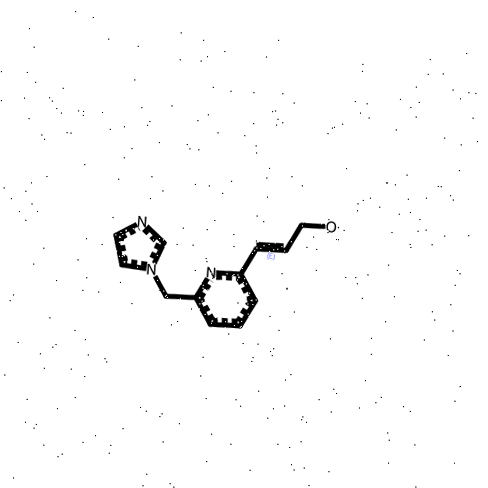 [O]C/C=C/c1cccc(Cn2ccnc2)n1